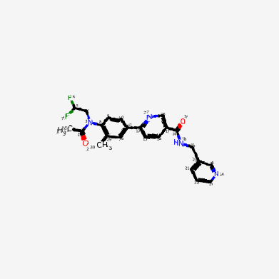 CC(=O)N(CC(F)F)c1ccc(-c2ccc(C(=O)NCc3cccnc3)cn2)cc1C